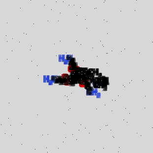 CC(CCCN(C)Cc1ccccc1)C1CC[C@H]2C3[C@H](OC(=O)CCCN)CC4C[C@H](OC(=O)CCCN)CCC4(C)[C@H]3C[C@H](OC(=O)CCCN)C12C